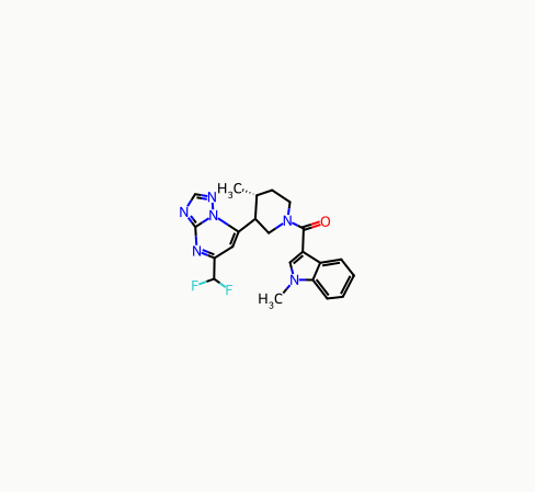 C[C@@H]1CCN(C(=O)c2cn(C)c3ccccc23)CC1c1cc(C(F)F)nc2ncnn12